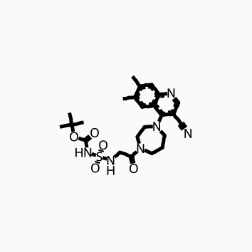 Cc1cc2ncc(C#N)c(N3CCCN(C(=O)CNS(=O)(=O)NC(=O)OC(C)(C)C)CC3)c2cc1C